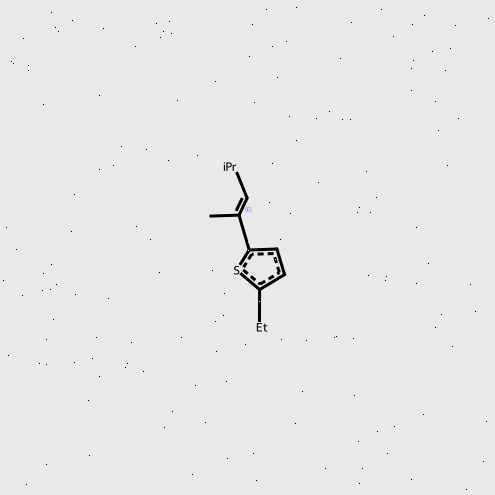 CCc1ccc(/C(C)=C/C(C)C)s1